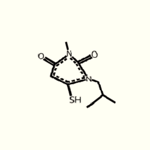 CC(C)Cn1c(S)cc(=O)n(C)c1=O